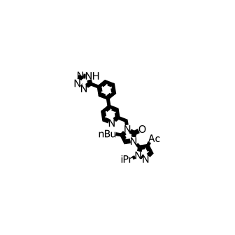 CCCCc1cn(-c2c(C(C)=O)cnn2C(C)C)c(=O)n1Cc1cc(-c2cccc(-c3nnn[nH]3)c2)ccn1